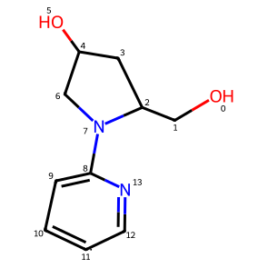 OCC1CC(O)CN1c1cc[c]cn1